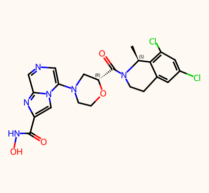 C[C@H]1c2c(Cl)cc(Cl)cc2CCN1C(=O)[C@H]1CN(c2cncc3nc(C(=O)NO)cn23)CCO1